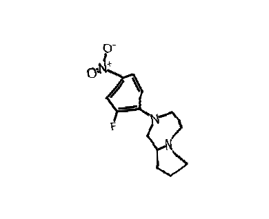 O=[N+]([O-])c1ccc(N2CCN3CCCC3C2)c(F)c1